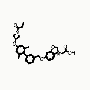 CCC(=O)N1CC(Oc2cc(C)c(-c3cccc(COc4ccc5c(c4)OC[C@H]5CC(=O)O)c3)c(C)c2)C1